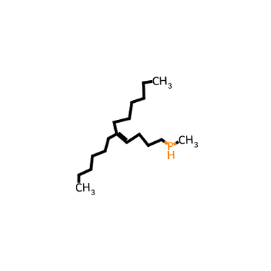 CCCCCCC(=CCCCPC)CCCCCC